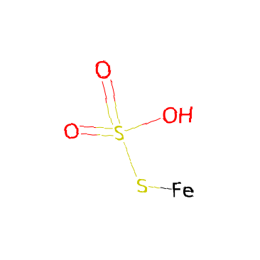 O=S(=O)(O)[S][Fe]